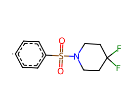 O=S(=O)(c1cc[c]cc1)N1CCC(F)(F)CC1